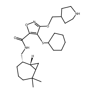 CC1(C)CCC[C@H](CNC(=O)c2onc(OCC3CCNCC3)c2SC2CCCCC2)[C@@H]2CC21